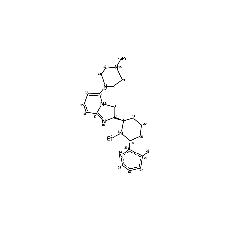 CCN1[C@@H](C2CN3C(N4CCN(C(C)C)CC4)=CC=CC3=N2)CCC[C@H]1c1ncccc1C